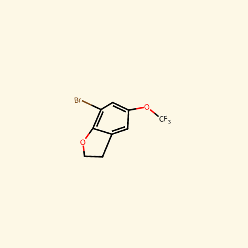 FC(F)(F)Oc1cc(Br)c2c(c1)CCO2